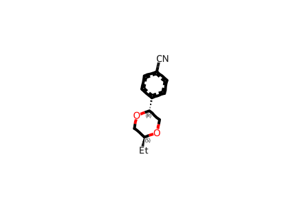 CC[C@H]1CO[C@H](c2ccc(C#N)cc2)CO1